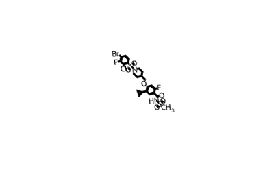 CS(=O)(=O)NC(=O)c1cc(C2CC2)c(OCC2CCN(S(=O)(=O)c3ccc(Br)c(F)c3Cl)CC2)cc1F